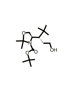 CC(C)(C)OC(=O)N1[C@H]([C@@H](CCO)C(C)(C)C)COC1(C)C